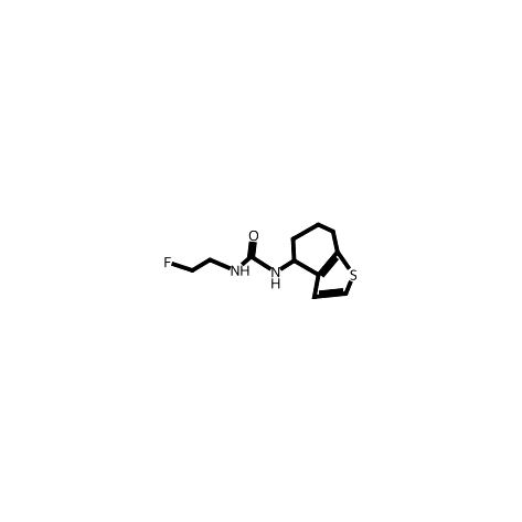 O=C(NCCF)NC1CCCc2sccc21